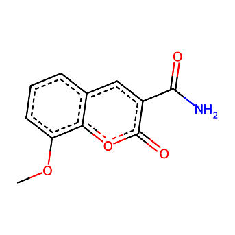 COc1cccc2cc(C(N)=O)c(=O)oc12